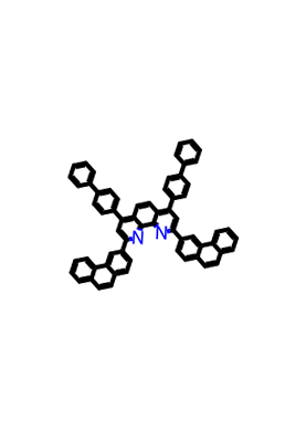 c1ccc(-c2ccc(-c3cc(-c4ccc5ccc6ccccc6c5c4)nc4c3ccc3c(-c5ccc(-c6ccccc6)cc5)cc(-c5ccc6ccc7ccccc7c6c5)nc34)cc2)cc1